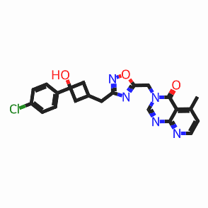 Cc1ccnc2ncn(Cc3nc(CC4CC(O)(c5ccc(Cl)cc5)C4)no3)c(=O)c12